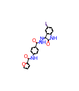 O=C1Nc2ccc(I)cc2/C1=N/NC(=O)c1ccc(NC(=O)c2ccco2)cc1